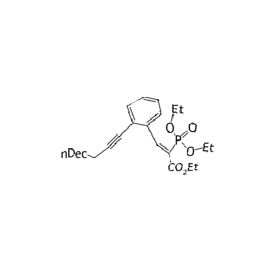 CCCCCCCCCCCC#Cc1ccccc1C=C(C(=O)OCC)P(=O)(OCC)OCC